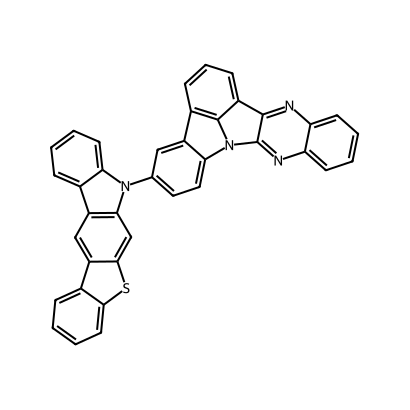 c1ccc2nc3c(nc2c1)c1cccc2c4cc(-n5c6ccccc6c6cc7c(cc65)sc5ccccc57)ccc4n3c21